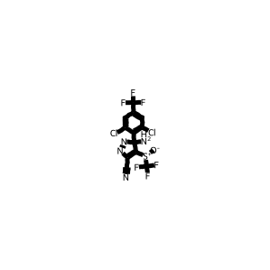 N#CC1=C([S+]([O-])C(F)(F)F)C(N)(c2c(Cl)cc(C(F)(F)F)cc2Cl)N=N1